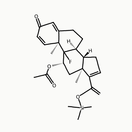 C=C(O[Si](C)(C)C)C1=CC[C@H]2[C@@H]3CCC4=CC(=O)C=C[C@]4(C)C3(F)[C@@H](OC(C)=O)C[C@]12C